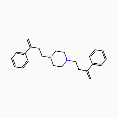 C=C(CCN1CCN(CCC(=C)c2ccccc2)CC1)c1ccccc1